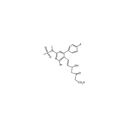 CC(C)c1nc(N(C)S(C)(=O)=O)nc(-c2ccc(F)cc2)c1C=CC(O)CC(=O)CC(=O)O